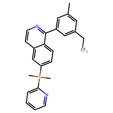 Cc1cc(CC(F)(F)F)cc(-c2nccc3cc(S(C)(C)c4ccccn4)ccc23)c1